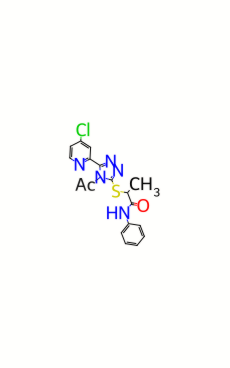 CC(=O)n1c(SC(C)C(=O)Nc2ccccc2)nnc1-c1cc(Cl)ccn1